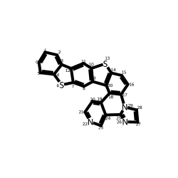 c1ccc2c(c1)sc1cc3c(cc12)sc1ccc2c(c4ccncc4c4nccn24)c13